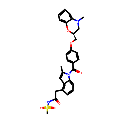 Cc1cc2c(CC(=O)NS(C)(=O)=O)cccc2n1C(=O)c1ccc(OC[C@@H]2CN(C)c3ccccc3O2)cc1